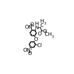 COC(=O)C(C)Nc1cc(Oc2ccc([N+](=O)[O-])cc2Cl)ccc1[N+](=O)[O-]